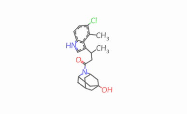 Cc1c(Cl)ccc2[nH]cc(C(C)CC(=O)N3C4CC5CC3CC(O)(C5)C4)c12